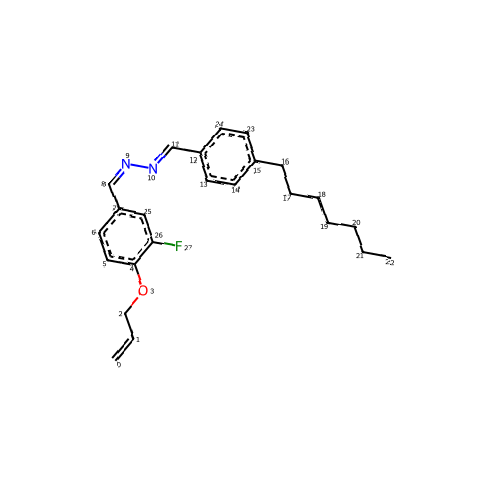 C=CCOc1ccc(/C=N\N=C\c2ccc(CCCCCCC)cc2)cc1F